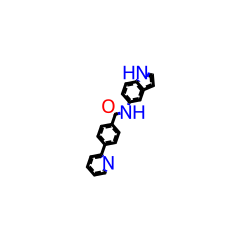 O=C(Nc1ccc2[nH]ccc2c1)c1ccc(-c2ccccn2)cc1